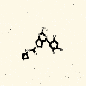 Nc1nc2c(c(-c3cc(O)c(Br)cc3Cl)n1)CN(C(=O)NC13CC(C1)C3)C2